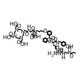 CCC(=O)NCCNC(=O)/N=C(/N)NCCC[C@@H](NC(=O)[C@@H](c1ccccc1)c1cccc(OCCCCNC(=O)[C@H](CS(=O)(=O)O)NC(=O)CN2CCN(CC(=O)O)CCN(CC(=O)O)CCN(CC(=O)O)CC2)c1)C(=O)NCc1ccc(O)cc1